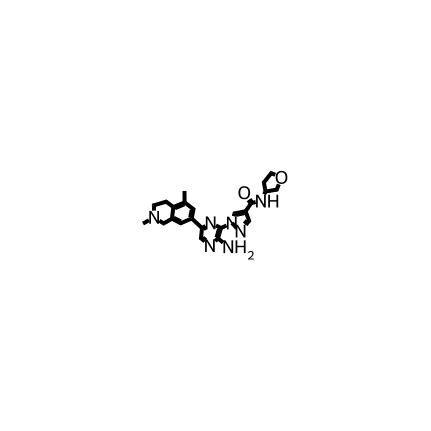 Cc1cc(-c2cnc(N)c(-n3cc(C(=O)NC4CCOC4)cn3)n2)cc2c1CCN(C)C2